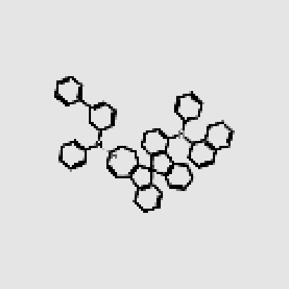 C1=CCC(N(C2=CCCC3=C2C2=C(C=CCC2)C32C3=C(CCC=C3)C3=C2CC[C@@H](N(C2=CCCC=C2)C2C=CC=C(c4ccccc4)C2)C=C3)C2CC=CC3=C2CCC=C3)C=C1